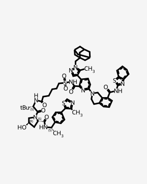 Cc1ncsc1-c1ccc([C@H](C)NC(=O)[C@@H]2C[C@@H](O)CN2C(=O)[C@@H](NC(=O)CCCCCS(=O)(=O)NC(=O)c2nc(N3CCc4cccc(C(=O)Nc5nc6ccccc6s5)c4C3)ccc2-c2cnn(CC34CC5CC(CC(C5)C3)C4)c2C)C(C)(C)C)cc1